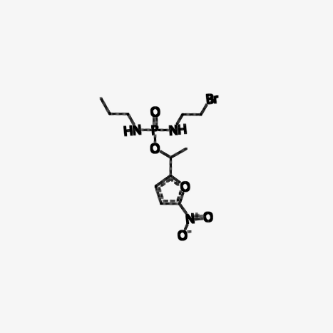 CCCNP(=O)(NCCBr)OC(C)c1ccc([N+](=O)[O-])o1